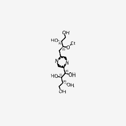 CCO[C@@H](Cc1cnc([C@@H](O)[C@H](O)[C@H](O)CO)cn1)[C@H](O)CO